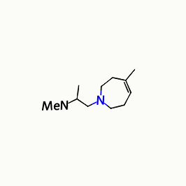 CNC(C)CN1CCC=C(C)CC1